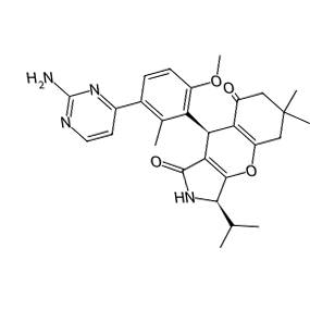 COc1ccc(-c2ccnc(N)n2)c(C)c1[C@H]1C2=C(CC(C)(C)CC2=O)OC2=C1C(=O)N[C@@H]2C(C)C